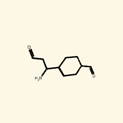 NC(CC=O)C1CCC(C=O)CC1